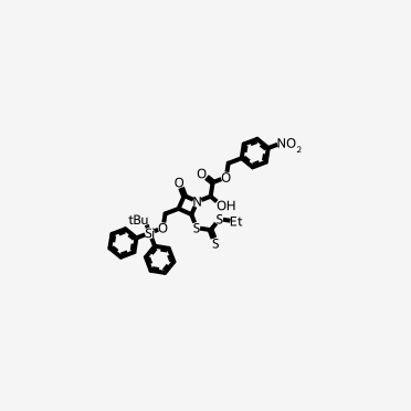 CCSC(=S)SC1C(CO[Si](c2ccccc2)(c2ccccc2)C(C)(C)C)C(=O)N1C(O)C(=O)OCc1ccc([N+](=O)[O-])cc1